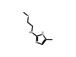 CSCCNc1ncc(C)[nH]1